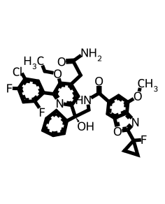 CCOc1c(CC(N)=O)cc([C@@](O)(CNC(=O)c2cc(OC)c3nc(C4(F)CC4)oc3c2)c2ccccc2)nc1-c1cc(Cl)c(F)cc1F